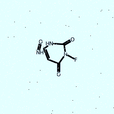 N=O.O=c1cc[nH]c(=O)n1F